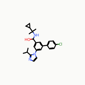 CC(C)c1nccn1-c1cc(-c2ccc(Cl)cc2)cc(C(O)NC(C)(C)C2CC2)c1